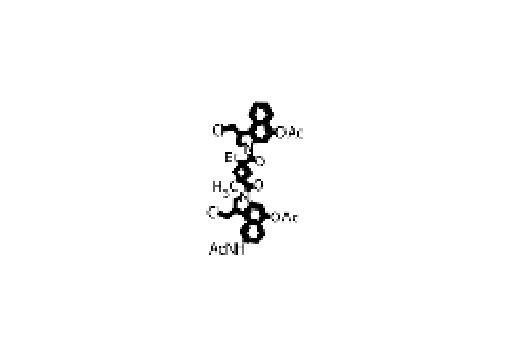 CCC1(C(=O)N2CC(CCl)c3c2cc(OC(C)=O)c2ccccc32)CC(C)(C(=O)N2CC(CCl)c3c2cc(OC(C)=O)c2ccc(NC(C)=O)cc32)C1